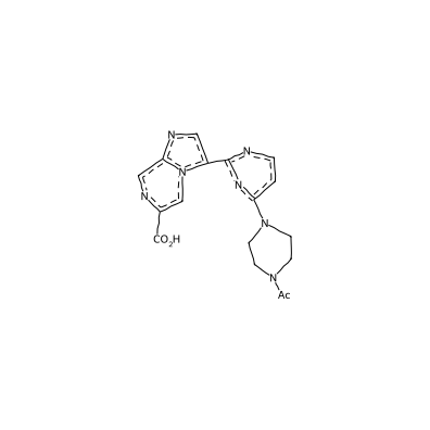 CC(=O)N1CCN(c2ccnc(-c3cnc4cnc(C(=O)O)cn34)n2)CC1